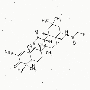 CC1(C)CC[C@]2(CNC(=O)CF)CC[C@]3(C)[C@H](C(=O)C=C4[C@@]5(C)C=C(C#N)C(=O)C(C)(C)[C@@H]5CC[C@]43C)[C@@H]2C1